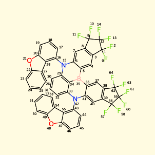 FC1(F)c2cc3c(cc2C(F)(F)C1(F)F)N(c1cccc2oc4ccccc4c12)c1cccc2c1B3c1cc3c(cc1N2c1cccc2oc4ccccc4c12)C(F)(F)C(F)(F)C3(F)F